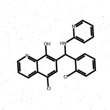 Oc1c(C(Nc2ccccn2)c2ccccc2Cl)cc(Cl)c2cccnc12